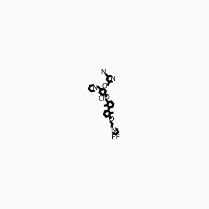 Cc1c(COc2cc(OCc3cncc(C#N)c3)c(CN3CCCCC3)cc2Cl)cccc1-c1cccc(OCCCN2CCC(F)(F)C2)c1C